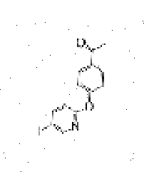 CC(=O)c1ccc(Oc2ccc(I)cn2)cc1